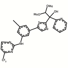 COC(OC)C(O)(c1ccccn1)c1ncc(-c2cc(C)cc(Nc3nccc(C(F)(F)F)n3)c2)s1